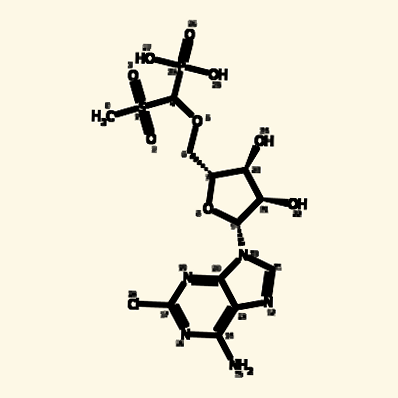 CS(=O)(=O)C(OC[C@H]1O[C@@H](n2cnc3c(N)nc(Cl)nc32)[C@H](O)[C@@H]1O)P(=O)(O)O